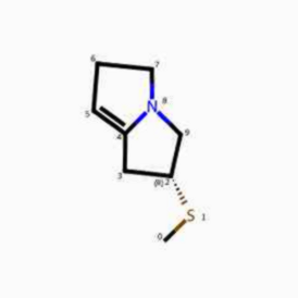 CS[C@@H]1CC2=CCCN2C1